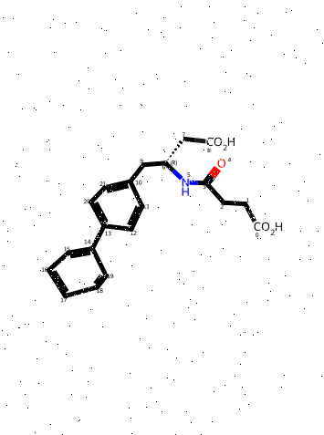 O=C(O)CCC(=O)N[C@@H](CC(=O)O)Cc1ccc(-c2ccccc2)cc1